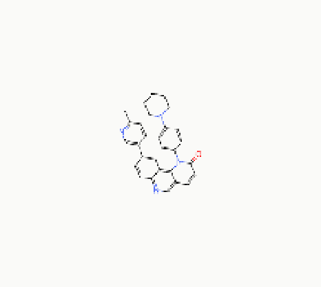 Cc1ccc(-c2ccc3ncc4ccc(=O)n(-c5ccc(N6CCCCC6)cc5)c4c3c2)cn1